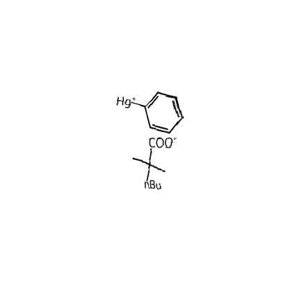 CCCCC(C)(C)C(=O)[O-].[Hg+][c]1ccccc1